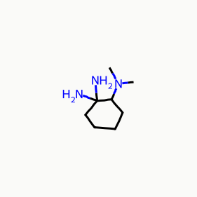 CN(C)C1CCCCC1(N)N